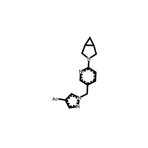 CC(=O)c1cnn(Cc2ccc(N3CC4CC4C3)nc2)c1